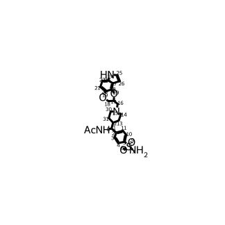 CC(=O)NC(c1ccc(S(N)(=O)=O)cc1)C1CCN(CC2COc3ccc4[nH]ccc4c3O2)CC1